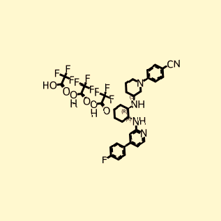 N#Cc1ccc(N2CCC[C@H](N[C@@H]3CCCC[C@H]3Nc3cc(-c4ccc(F)cc4)ccn3)C2)cc1.O=C(O)C(F)(F)F.O=C(O)C(F)(F)F.O=C(O)C(F)(F)F